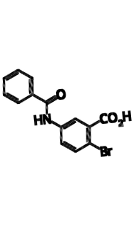 O=C(Nc1ccc(Br)c(C(=O)O)c1)c1ccccc1